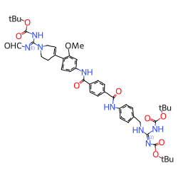 COc1cc(NC(=O)c2ccc(C(=O)Nc3ccc(CN/C(=N/C(=O)OC(C)(C)C)NC(=O)OC(C)(C)C)cc3)cc2)ccc1C1=CCN(/C(=N/C=O)NC(=O)OC(C)(C)C)CC1